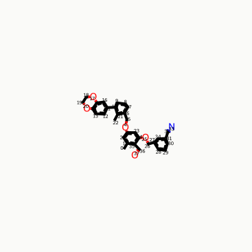 Cc1cc(OCc2cccc(-c3ccc4c(c3)OCCO4)c2C)cc(OCc2cccc(C#N)c2)c1C=O